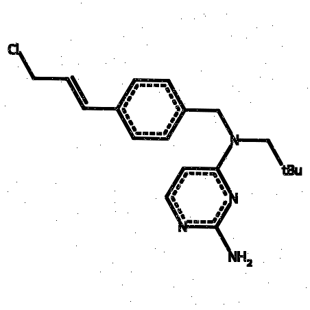 CC(C)(C)CN(Cc1ccc(/C=C/CCl)cc1)c1ccnc(N)n1